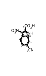 N#Cc1ccc2c([N+](=O)[O-])c(C(=O)O)[nH]c2c1